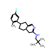 Cc1ccc(F)cc1C1CCC2CC(NCC(C)(C)C=O)=NC=C2C1